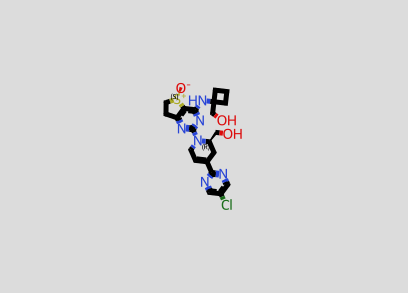 [O-][S@+]1CCc2nc(N3CC=C(c4ncc(Cl)cn4)C[C@@H]3CO)nc(NC3(CO)CCC3)c21